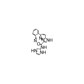 N#Cc1ccccc1C1=NN2C(C(=O)NC3CNC=CN3)=CNC2C=C1